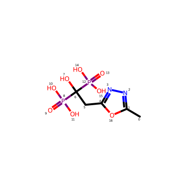 Cc1nnc(CC(O)(P(=O)(O)O)P(=O)(O)O)o1